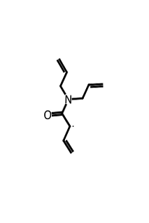 C=C[CH]C(=O)N(CC=C)CC=C